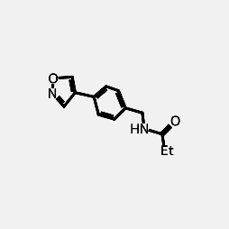 CCC(=O)NCc1ccc(-c2cnoc2)cc1